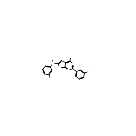 CN(c1cccc(F)c1)c1cc2c(N)nc(-c3cccc(N)c3)nc2s1